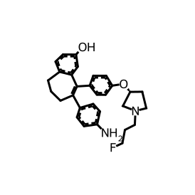 Nc1ccc(C2=C(c3ccc(O[C@H]4CCN(CCCF)C4)cc3)c3cc(O)ccc3CCC2)cc1